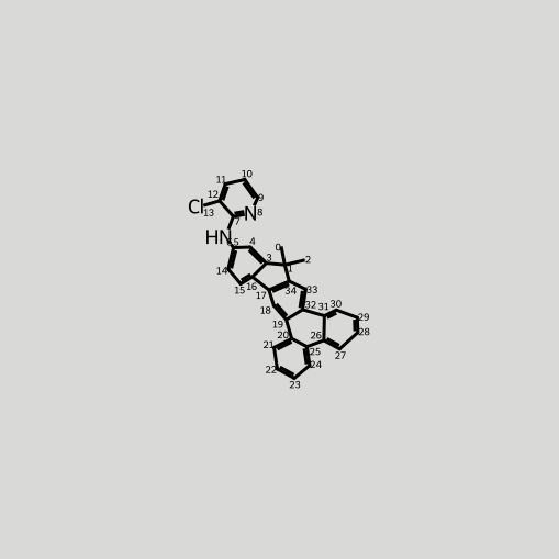 CC1(C)c2cc(Nc3ncccc3Cl)ccc2-c2cc3c4ccccc4c4ccccc4c3cc21